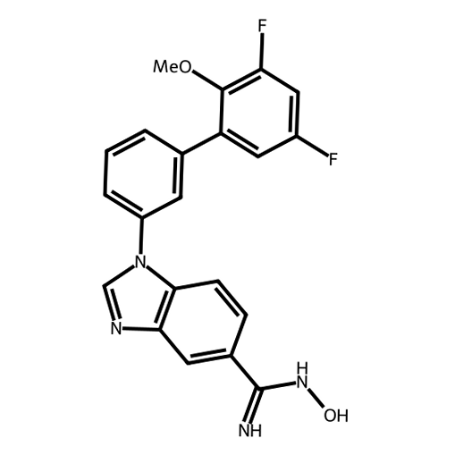 COc1c(F)cc(F)cc1-c1cccc(-n2cnc3cc(C(=N)NO)ccc32)c1